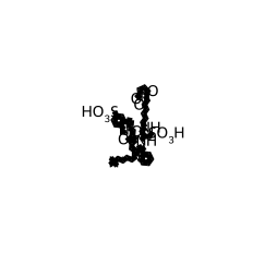 C[N+]1=C(/C=C2\C(=O)C(/C=C3/N(CCCC[N+](C)(C)C)c4ccccc4C3(C)C)=C2NC(CS(=O)(=O)O)C(=O)NCCCCC(=O)CN2C(=O)CCC2=O)C(C)(C)c2cc(S(=O)(=O)O)ccc21